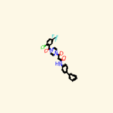 O=C(CC(=O)N1CCN(C(=O)c2cc(C(F)(F)F)ccc2Cl)CC1)Nc1ccc(-c2ccccc2)cc1